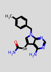 Cc1ccc(Cn2cc([Se]C(N)=O)c3c(N)ncnc32)cc1